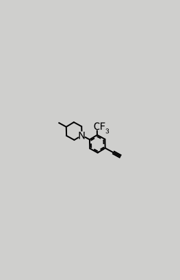 C#Cc1ccc(N2CCC(C)CC2)c(C(F)(F)F)c1